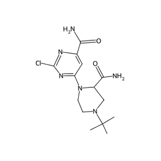 CC(C)(C)N1CCN(c2cc(C(N)=O)nc(Cl)n2)C(C(N)=O)C1